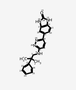 CC(C)(CNc1ccc(-c2ccc3[nH]c(=O)[nH]c3c2)nn1)c1ccccc1